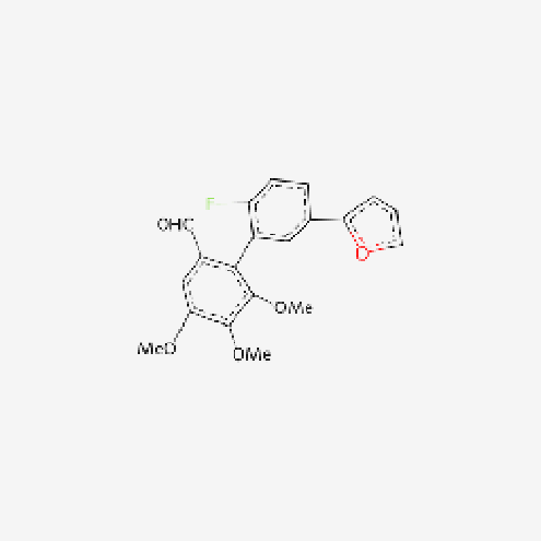 COc1cc(C=O)c(-c2cc(-c3ccco3)ccc2F)c(OC)c1OC